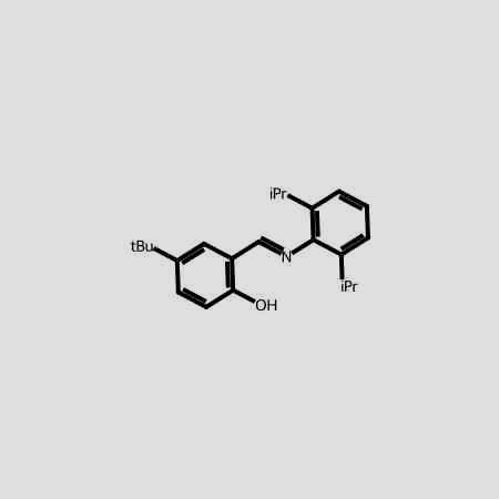 CC(C)c1cccc(C(C)C)c1/N=C/c1cc(C(C)(C)C)ccc1O